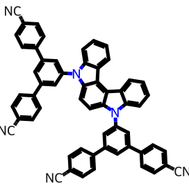 N#Cc1ccc(-c2cc(-c3ccc(C#N)cc3)cc(-n3c4ccccc4c4c5c6ccccc6n(-c6cc(-c7ccc(C#N)cc7)cc(-c7ccc(C#N)cc7)c6)c5ccc43)c2)cc1